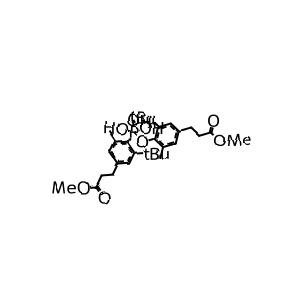 COC(=O)CCc1cc(C)c(OP(O)(O)(O)c2c(C)cc(CCC(=O)OC)cc2C(C)(C)C)c(C(C)(C)C)c1